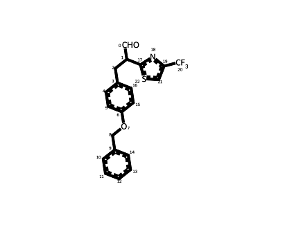 O=CC(Cc1ccc(OCc2ccccc2)cc1)c1nc(C(F)(F)F)cs1